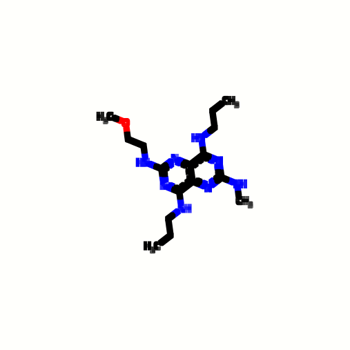 CCCNc1nc(NCCOC)nc2c(NCCC)nc(NC)nc12